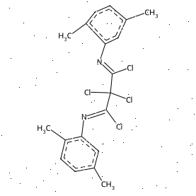 Cc1ccc(C)c(N=C(Cl)C(Cl)(Cl)C(Cl)=Nc2cc(C)ccc2C)c1